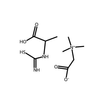 CC(NC(=N)S)C(=O)O.C[N+](C)(C)CC(=O)[O-]